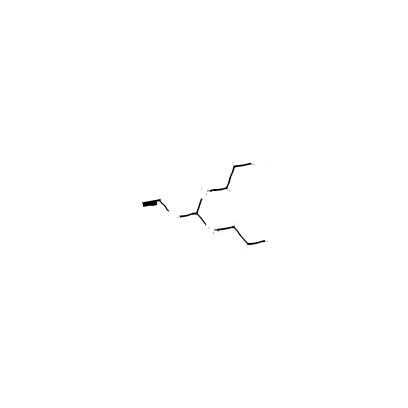 C=C[SiH2]C(NCCC)NCCC